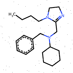 CCCCN1CCN=C1CN(Cc1ccccc1)C1CCCCC1